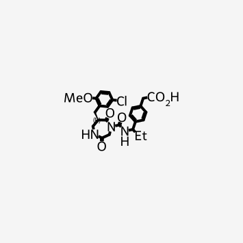 CCC(NC(=O)N1CC(=O)NC[C@@H](Cc2cc(Cl)ccc2OC)C1=O)c1ccc(CC(=O)O)cc1